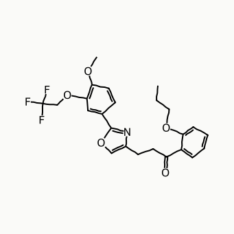 CCCOc1ccccc1C(=O)CCc1coc(-c2ccc(OC)c(OCC(F)(F)F)c2)n1